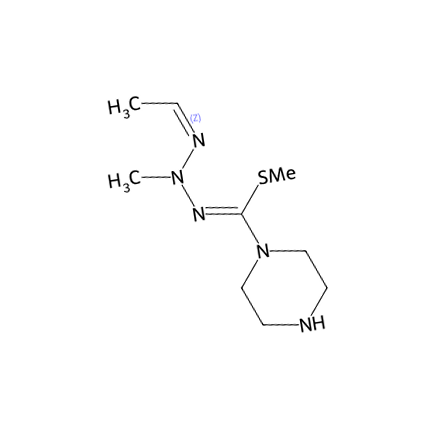 C/C=N\N(C)N=C(SC)N1CCNCC1